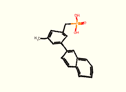 Cc1cc(CP(=O)(O)O)cc(-c2ccc3ccccc3c2)c1